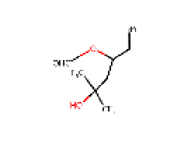 CC(C)CC(CC(O)(C(F)(F)F)C(F)(F)F)OC=O